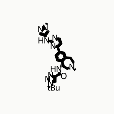 CN1CCc2cc(-c3ccnc(Nc4cnn(C)c4)n3)ccc2[C@@H](NC(=O)c2cn(C(C)(C)C)nn2)C1